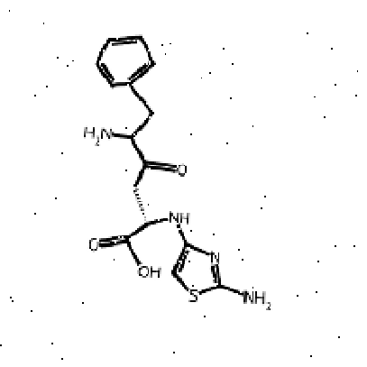 Nc1nc(N[C@@H](CC(=O)C(N)Cc2ccccc2)C(=O)O)cs1